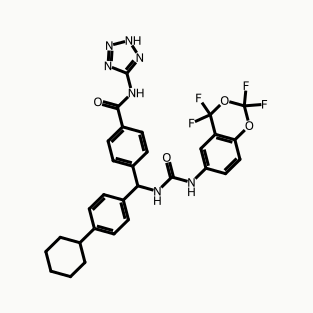 O=C(Nc1ccc2c(c1)C(F)(F)OC(F)(F)O2)NC(c1ccc(C(=O)Nc2nn[nH]n2)cc1)c1ccc(C2CCCCC2)cc1